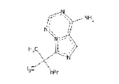 CCCC(C)(C)c1ncc2c(N)ncnn12